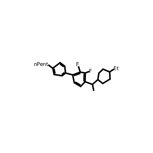 CCCCCc1ccc(-c2ccc(C(C)C3CCC(CC)CC3)c(F)c2F)cc1